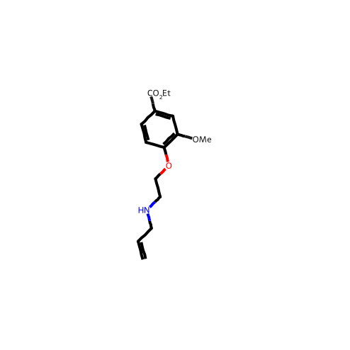 C=CCNCCOc1ccc(C(=O)OCC)cc1OC